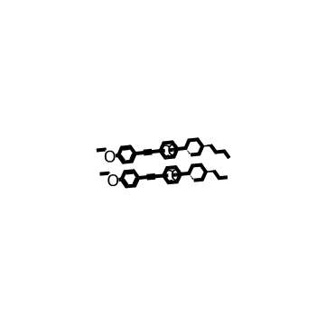 CCCC[C@H]1CC[C@H](C23CCC(C#Cc4ccc(OCC)cc4)(CC2)CC3)CC1.CCC[C@H]1CC[C@H](C23CCC(C#Cc4ccc(OCC)cc4)(CC2)CC3)CC1